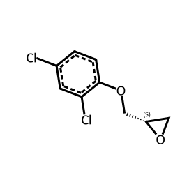 Clc1ccc(OC[C@@H]2CO2)c(Cl)c1